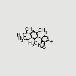 C=Cc1c(C(=C)C)cc(C)c(-c2ccc(F)c3scnc23)c1C